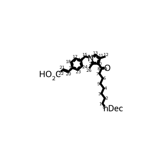 CCCCCCCCCCCCCCCCCC(=O)c1c(C)cn(Cc2ccc(C=CC(=O)O)cc2)c1C